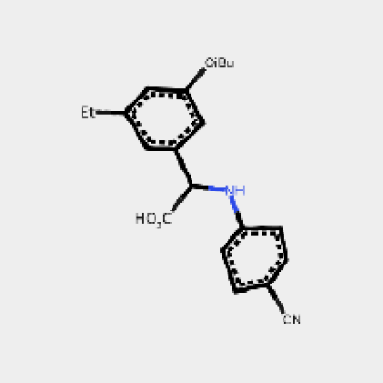 CCc1cc(OCC(C)C)cc(C(Nc2ccc(C#N)cc2)C(=O)O)c1